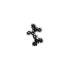 c1ccc(-c2cc(-c3ccc(-c4cc(-c5ccccn5)nc(-c5ccccn5)c4)cc3)cc(-c3cc(-c4ccccc4)nc(-c4ccccc4)n3)c2)cc1